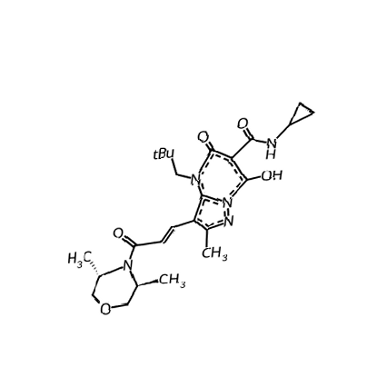 Cc1nn2c(O)c(C(=O)NC3CC3)c(=O)n(CC(C)(C)C)c2c1/C=C/C(=O)N1[C@@H](C)COC[C@@H]1C